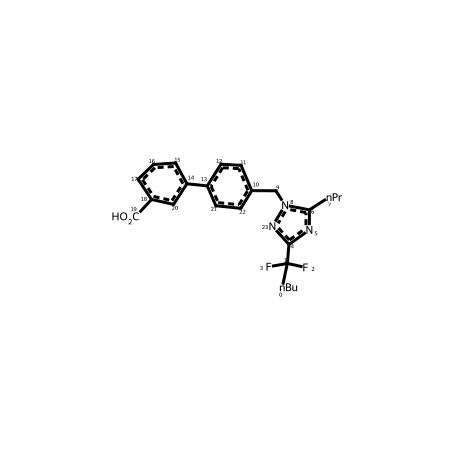 CCCCC(F)(F)c1nc(CCC)n(Cc2ccc(-c3cccc(C(=O)O)c3)cc2)n1